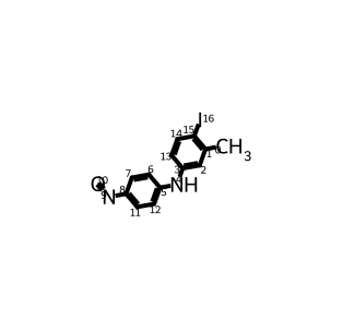 Cc1cc(Nc2ccc(N=O)cc2)ccc1I